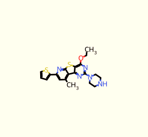 CCOc1nc(N2CCNCC2)nc2c1sc1nc(-c3cccs3)cc(C)c12